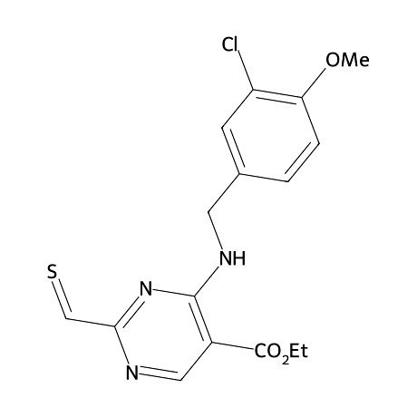 CCOC(=O)c1cnc(C=S)nc1NCc1ccc(OC)c(Cl)c1